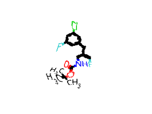 CC(C)(C)OC(=O)NC/C(=C\F)Cc1cc(F)cc(Cl)c1